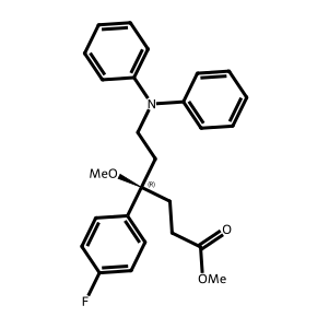 COC(=O)CC[C@](CCN(c1ccccc1)c1ccccc1)(OC)c1ccc(F)cc1